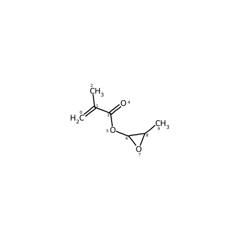 C=C(C)C(=O)OC1OC1C